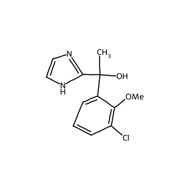 COc1c(Cl)cccc1C(C)(O)c1ncc[nH]1